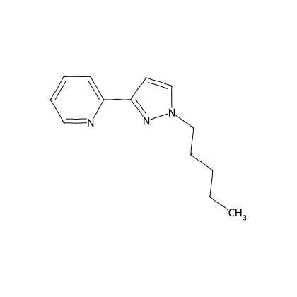 CCCCCn1ccc(-c2ccccn2)n1